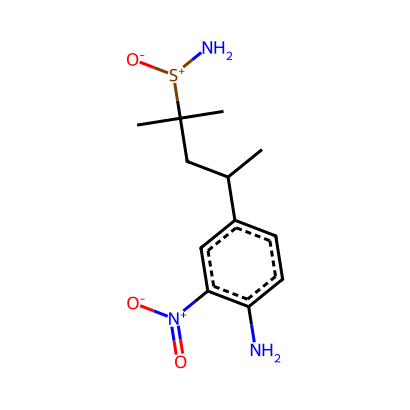 CC(CC(C)(C)[S+](N)[O-])c1ccc(N)c([N+](=O)[O-])c1